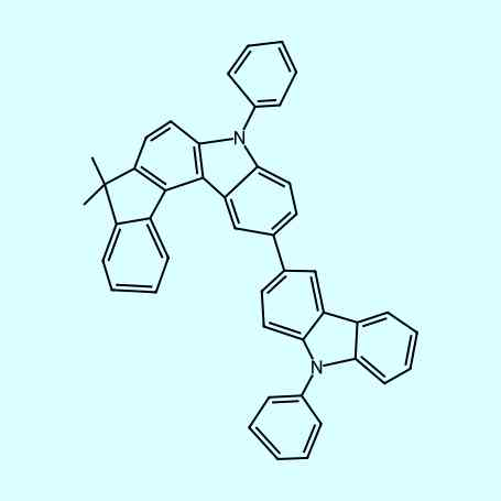 CC1(C)c2ccccc2-c2c1ccc1c2c2cc(-c3ccc4c(c3)c3ccccc3n4-c3ccccc3)ccc2n1-c1ccccc1